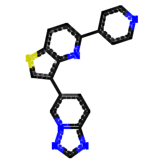 c1cc(-c2ccc3scc(-c4ccc5ncnn5c4)c3n2)ccn1